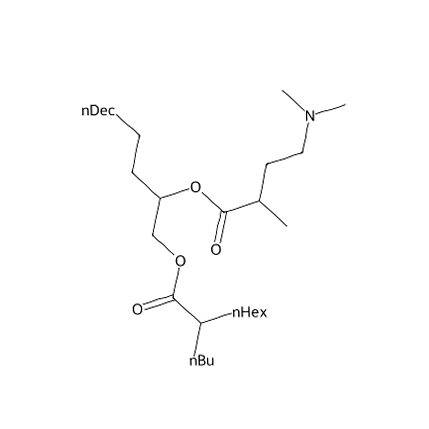 CCCCCCCCCCCCC(COC(=O)C(CCCC)CCCCCC)OC(=O)C(C)CCN(C)C